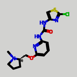 CN1CCC[C@H]1COc1cccc(NC(=O)Nc2csc(Cl)n2)n1